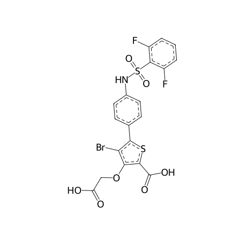 O=C(O)COc1c(C(=O)O)sc(-c2ccc(NS(=O)(=O)c3c(F)cccc3F)cc2)c1Br